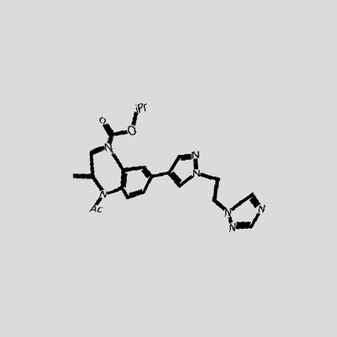 CC(=O)N1c2ccc(-c3cnn(CCn4cncn4)c3)cc2N(C(=O)OC(C)C)CC1C